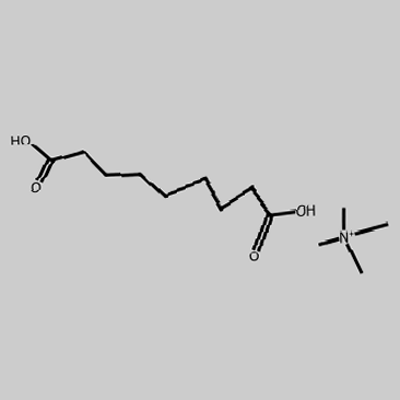 C[N+](C)(C)C.O=C(O)CCCCCCCC(=O)O